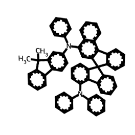 CC1(C)c2ccccc2-c2ccc(N(c3ccccc3)c3cc4c(c5ccccc35)-c3ccccc3C43c4ccccc4-c4c(N(c5ccccc5)c5ccccc5)cccc43)cc21